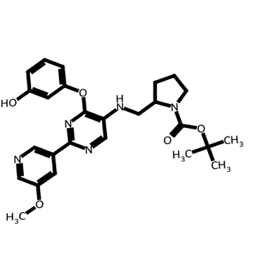 COc1cncc(-c2ncc(NCC3CCCN3C(=O)OC(C)(C)C)c(Oc3cccc(O)c3)n2)c1